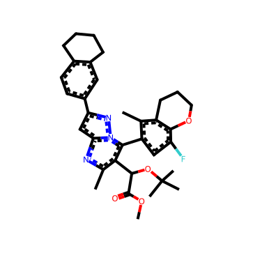 COC(=O)C(OC(C)(C)C)c1c(C)nc2cc(-c3ccc4c(c3)CCCC4)nn2c1-c1cc(F)c2c(c1C)CCCO2